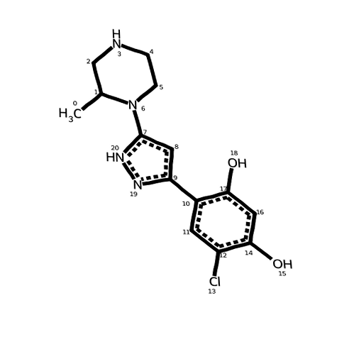 CC1CNCCN1c1cc(-c2cc(Cl)c(O)cc2O)n[nH]1